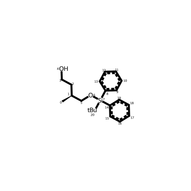 C[C@@H](CCO)CO[Si](c1ccccc1)(c1ccccc1)C(C)(C)C